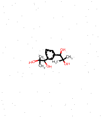 CC(C)(O)C(O)c1cccc(C(O)C(C)(C)O)c1